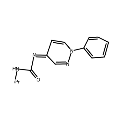 CC(C)NC(=O)/N=c1/ccn(-c2ccccc2)nc1